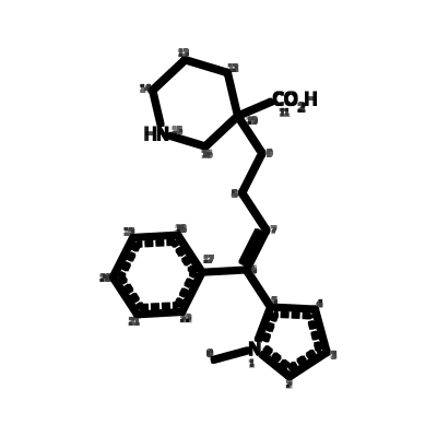 Cn1cccc1C(=CCCC1(C(=O)O)CCCNC1)c1ccccc1